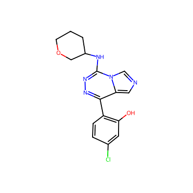 Oc1cc(Cl)ccc1-c1nnc(NC2CCCOC2)n2cncc12